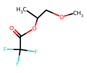 COCC(C)OC(=O)C(F)(F)F